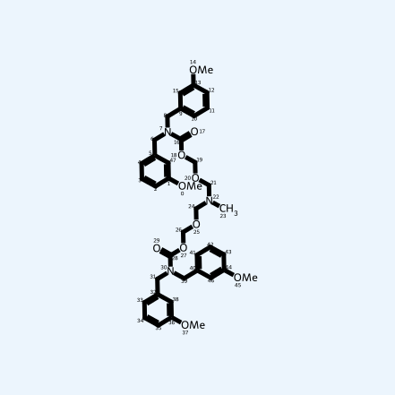 COc1cccc(CN(Cc2cccc(OC)c2)C(=O)OCOCN(C)COCOC(=O)N(Cc2cccc(OC)c2)Cc2cccc(OC)c2)c1